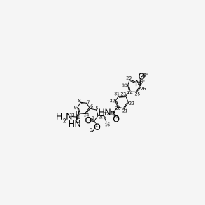 COC(=O)C(Cc1cccc(C(=N)N)c1)C(C)NC(=O)c1ccc(-c2cc[n+]([O-])cc2)cc1